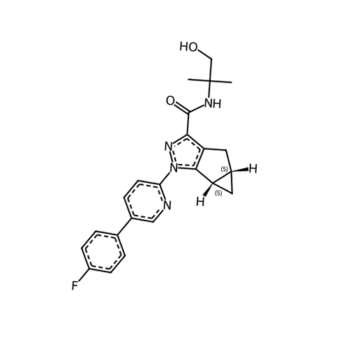 CC(C)(CO)NC(=O)c1nn(-c2ccc(-c3ccc(F)cc3)cn2)c2c1C[C@@H]1C[C@H]21